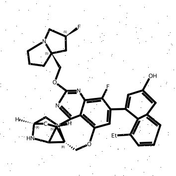 CCc1cccc2cc(O)cc(-c3cc4c5c(nc(OC[C@@]67CCCN6C[C@@H](F)C7)nc5c3F)N3C[C@H]5C[C@H]6C(N5)[C@@]63CO4)c12